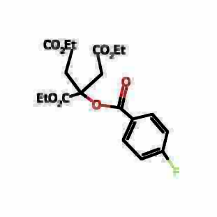 CCOC(=O)CC(CC(=O)OCC)(OC(=O)c1ccc(F)cc1)C(=O)OCC